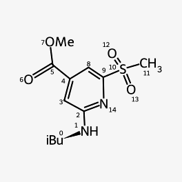 CC[C@H](C)Nc1cc(C(=O)OC)cc(S(C)(=O)=O)n1